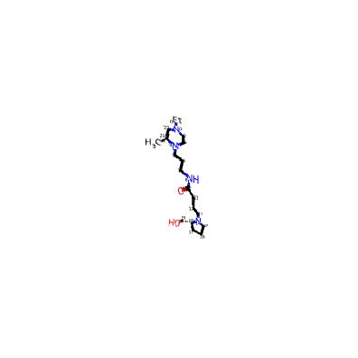 CCN1CCN(CCCNC(=O)CCCN2CCC[C@@H]2CO)[C@@H](C)C1